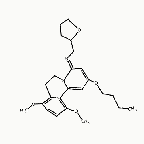 CCCCOc1cc2n(/c(=N/CC3CCCO3)c1)CCc1c(OC)ccc(OC)c1-2